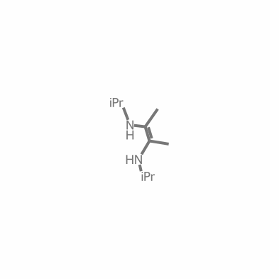 C/C(NC(C)C)=C(\C)NC(C)C